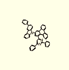 c1ccc(-c2ccc3c(c2)c2ccccc2n3-c2cc(-c3cc(-c4ccccc4)nc(-c4ccccc4)n3)c3c4ccccc4c4ccccc4c3c2)cc1